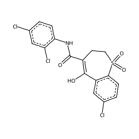 O=C(Nc1ccc(Cl)cc1Cl)C1=C(O)c2cc(Cl)ccc2S(=O)(=O)CC1